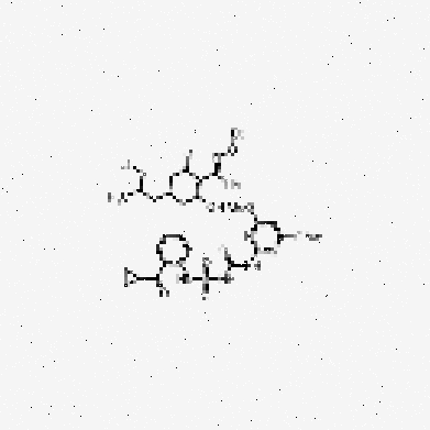 CCCC(=NOCC)C1=C(O)CC(CC(C)SCC)CC1=O.COc1cc(OC)nc(NC(=O)NS(=O)(=O)Nc2ccccc2C(=O)C2CC2)n1